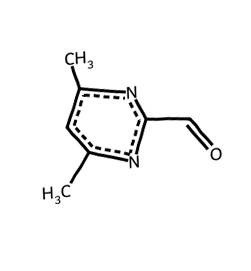 Cc1cc(C)nc(C=O)n1